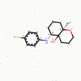 OC12CCCO[C@@H]1CCC[C@H]2Nc1ccc(F)cc1